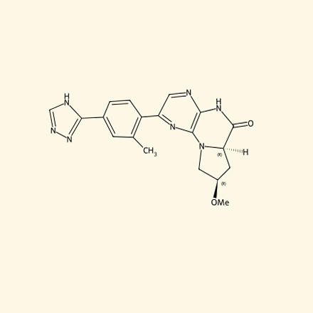 CO[C@@H]1C[C@@H]2C(=O)Nc3ncc(-c4ccc(-c5nnc[nH]5)cc4C)nc3N2C1